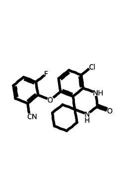 N#Cc1cccc(F)c1Oc1ccc(Cl)c2c1C1(CCCCC1)NC(=O)N2